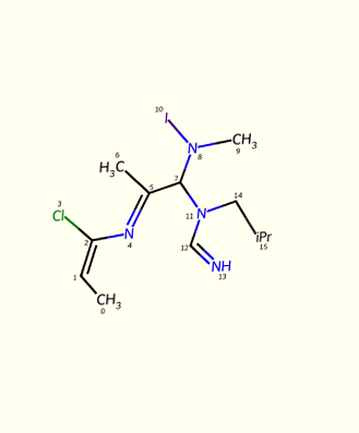 C/C=C(Cl)\N=C(/C)C(N(C)I)N(C=N)CC(C)C